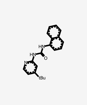 CC(C)(C)c1ccnc(NC(=O)Nc2cccc3ccccc23)c1